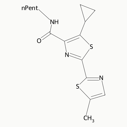 CCCCCNC(=O)c1nc(-c2ncc(C)s2)sc1C1CC1